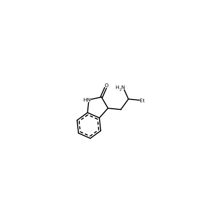 CCC(N)CC1C(=O)Nc2ccccc21